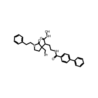 CC(C)CC1(C(CCNC(=O)c2ccc(-c3ccccc3)cc2)C(=O)NO)CCN(CCc2ccccc2)C1=O